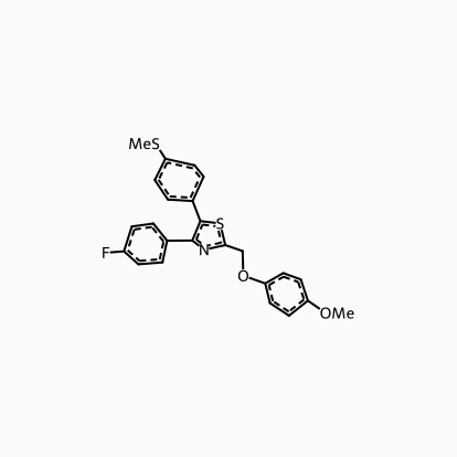 COc1ccc(OCc2nc(-c3ccc(F)cc3)c(-c3ccc(SC)cc3)s2)cc1